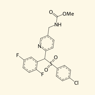 COC(=O)NCc1ccc(C(c2cc(F)ccc2F)S(=O)(=O)c2ccc(Cl)cc2)nc1